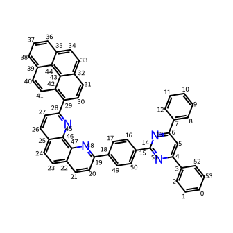 c1ccc(-c2cc(-c3ccccc3)nc(-c3ccc(-c4ccc5ccc6ccc(-c7ccc8ccc9cccc%10ccc7c8c9%10)nc6c5n4)cc3)n2)cc1